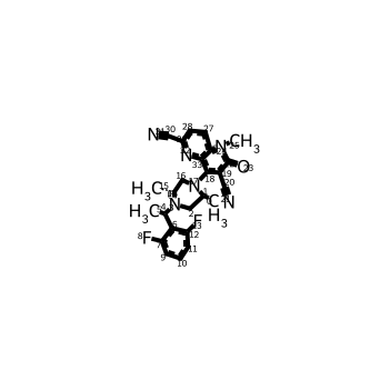 CC1CN(C(C)c2c(F)cccc2F)[C@H](C)CN1c1c(C#N)c(=O)n(C)c2ccc(C#N)nc12